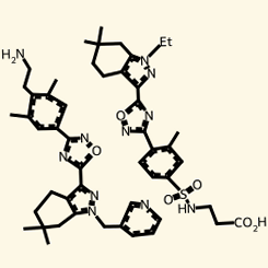 CCn1nc(-c2nc(-c3ccc(S(=O)(=O)NCCC(=O)O)cc3C)no2)c2c1CC(C)(C)CC2.Cc1cc(-c2noc(-c3nn(Cc4cccnc4)c4c3CCC(C)(C)C4)n2)cc(C)c1CCN